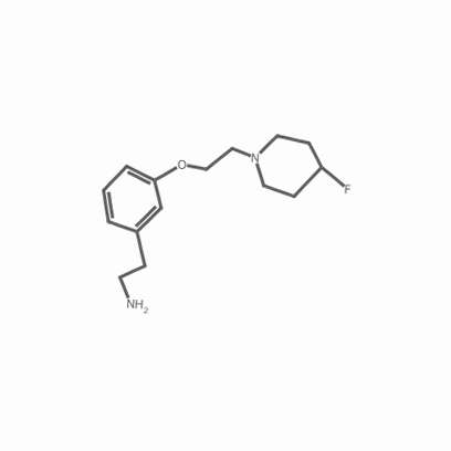 NCCc1cccc(OCCN2CCC(F)CC2)c1